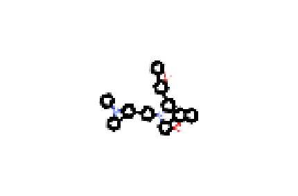 c1ccc(-n2c3ccccc3c3cc(-c4ccc(N(c5cccc(-c6ccc7c(c6)oc6ccccc67)c5)c5cccc6oc7c8ccccc8ccc7c56)cc4)ccc32)cc1